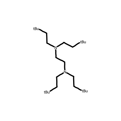 CC(C)(C)CCN(CCN(CCC(C)(C)C)CCC(C)(C)C)CCC(C)(C)C